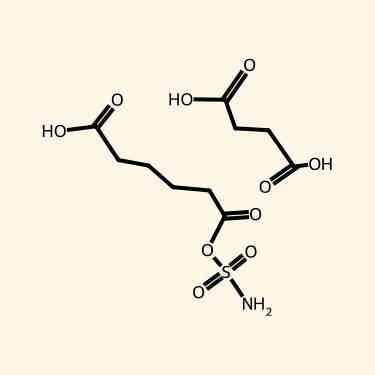 NS(=O)(=O)OC(=O)CCCCC(=O)O.O=C(O)CCC(=O)O